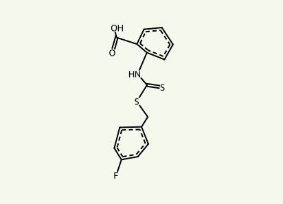 O=C(O)c1ccccc1NC(=S)SCc1ccc(F)cc1